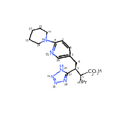 CCC[C@H](C(=O)O)[C@H](Cc1ccc(N2CCCCC2)nc1)c1nnn[nH]1